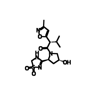 Cc1cc([C@@H](C(=O)N2C[C@H](O)C[C@H]2C2=NS(=O)(=O)CN2)C(C)C)on1